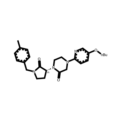 CCCCOc1ccc(N2CCN([C@@H]3CCN(Cc4ccc(C)cc4)C3=O)C(=O)C2)nc1